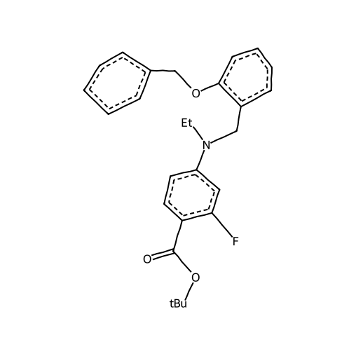 CCN(Cc1ccccc1OCc1ccccc1)c1ccc(C(=O)OC(C)(C)C)c(F)c1